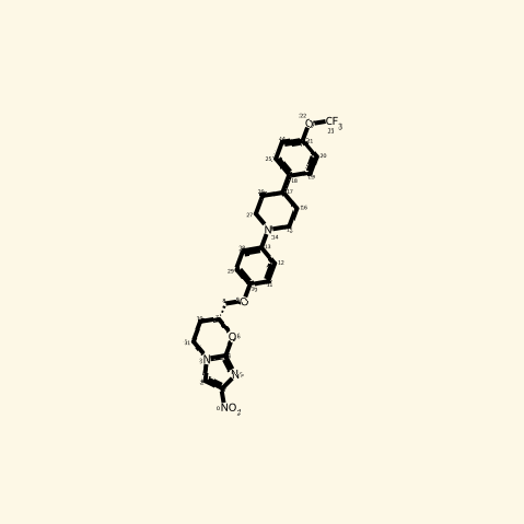 O=[N+]([O-])c1cn2c(n1)O[C@@H](COc1ccc(N3CCC(c4ccc(OC(F)(F)F)cc4)CC3)cc1)CC2